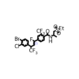 CCS(=O)(=O)CC(C)NC(=O)c1ccc(/C(F)=C/C(c2ccc(Br)c(Cl)c2)C(F)(F)F)cc1C(F)(F)F